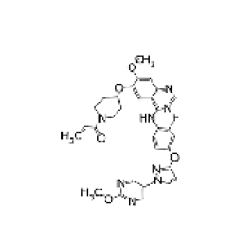 C=CC(=O)N1CCC(Oc2cc3c(Nc4ccc(Oc5ccn(-c6cnc(OC)nc6)n5)cc4F)ncnc3cc2OC)CC1